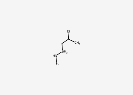 CCN[SiH2]CC(C)CC